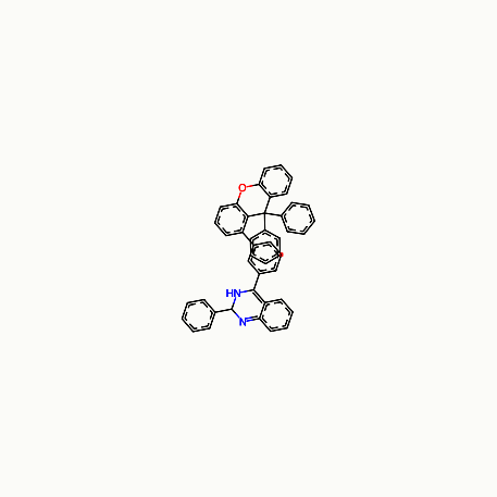 c1ccc(C2N=c3ccccc3=C(c3cccc(-c4cccc5c4C(c4ccccc4)(c4ccccc4)c4ccccc4O5)c3)N2)cc1